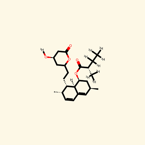 [2H]O[C@H]1CC(=O)OC(CC[C@@H]2[C@@H]3C(=C[C@H](C)C[C@@H]3OC(=O)[C@@H](C([2H])([2H])[2H])C([2H])([2H])C([2H])([2H])[2H])C=C[C@@H]2C)C1